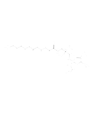 CCCCCC[CH]CCCCC(=O)NCC(C)(C)CC[Si](OCC)(OCC)OCC